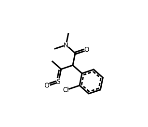 CC(=S=O)C(C(=O)N(C)C)c1ccccc1Cl